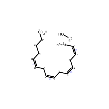 CCCCC/C=C\C/C=C\C/C=C\C/C=C\CCCC(=O)O.CCO